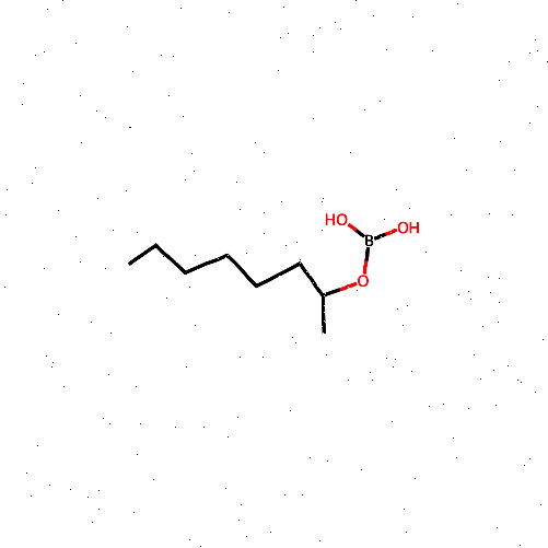 CCCCCCC(C)OB(O)O